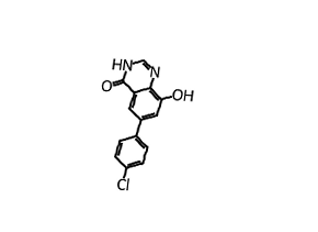 O=c1[nH]cnc2c(O)cc(-c3ccc(Cl)cc3)cc12